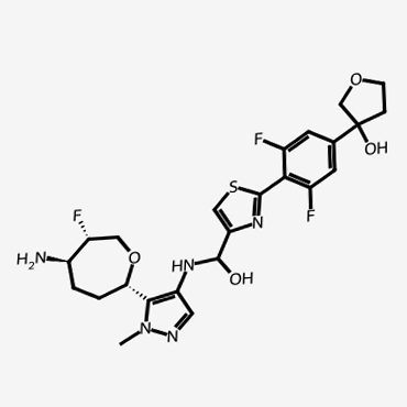 Cn1ncc(NC(O)c2csc(-c3c(F)cc(C4(O)CCOC4)cc3F)n2)c1[C@@H]1CC[C@@H](N)[C@H](F)CO1